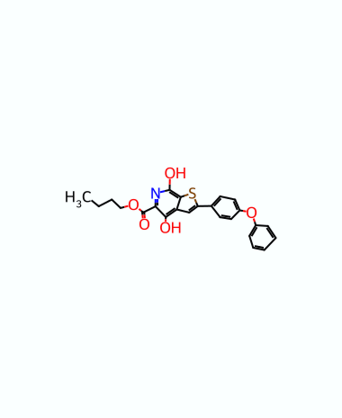 CCCCOC(=O)c1nc(O)c2sc(-c3ccc(Oc4ccccc4)cc3)cc2c1O